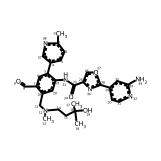 Cc1ccc(-c2cc(C=O)c(CN(C)CCC(C)(C)O)cc2NC(=O)c2coc(-c3ccnc(N)c3)n2)cn1